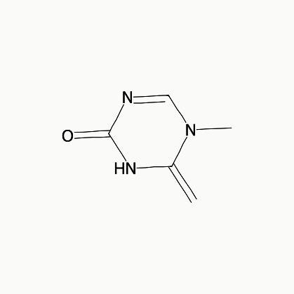 C=C1NC(=O)N=CN1C